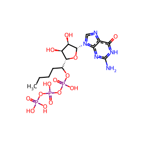 CCCCC(OP(=O)(O)OP(=O)(O)OP(=O)(O)O)[C@H]1O[C@@H](n2cnc3c(=O)[nH]c(N)nc32)[C@H](O)[C@@H]1O